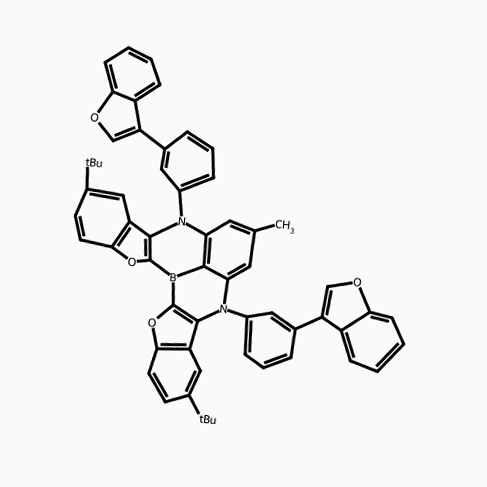 Cc1cc2c3c(c1)N(c1cccc(-c4coc5ccccc45)c1)c1c(oc4ccc(C(C)(C)C)cc14)B3c1oc3ccc(C(C)(C)C)cc3c1N2c1cccc(-c2coc3ccccc23)c1